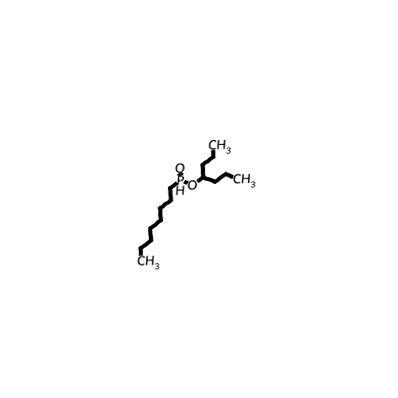 CCCCCCCC[PH](=O)OC(CCC)CCC